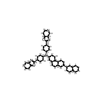 c1ccc2cc(-c3ccc4c(ccc5cc(N(c6ccc(-c7nc8cnccc8o7)cc6)c6ccc(-c7nc8cnccc8o7)cc6)ccc54)c3)ccc2c1